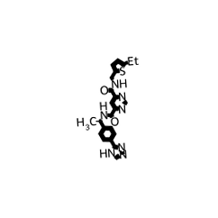 CCc1ccc(CNC(=O)c2cc(C(=O)N[C@@H](C)c3ccc(-c4nnc[nH]4)cc3)ncn2)s1